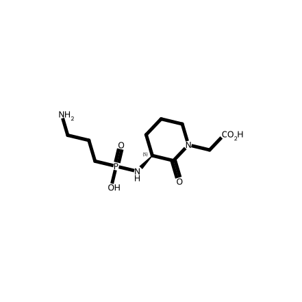 NCCCP(=O)(O)N[C@H]1CCCN(CC(=O)O)C1=O